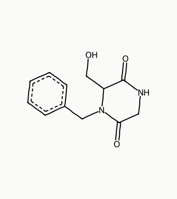 O=C1NCC(=O)N(Cc2ccccc2)C1CO